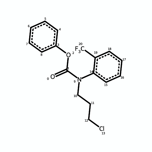 O=C(Oc1ccccc1)N(CCCCl)c1ccccc1C(F)(F)F